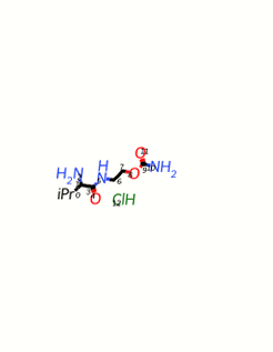 CC(C)C(N)C(=O)NCCOC(N)=O.Cl